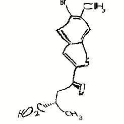 Cc1cc2sc(C(=O)C[C@H](C)C(=O)O)cc2cc1Br